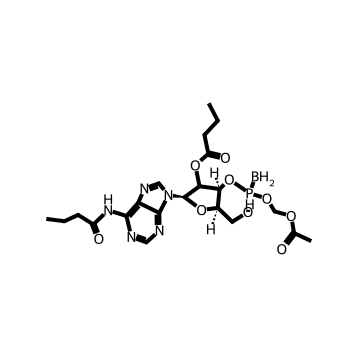 B[PH]1(OCOC(C)=O)OC[C@H]2O[C@@H](n3cnc4c(NC(=O)CCC)ncnc43)C(OC(=O)CCC)[C@H]2O1